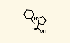 O=C(O)[C@]1(CC2CCCCC2)CCCN1